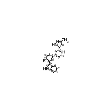 CC1=NNC([C@@H]2CN(c3ccc(F)c(-c4n[nH]c5ncccc45)n3)CCN2)C1